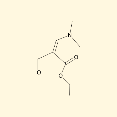 CCOC(=O)/C(C=O)=C\N(C)C